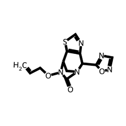 C=CCON1C(=O)N2CC1c1scnc1C2c1ncno1